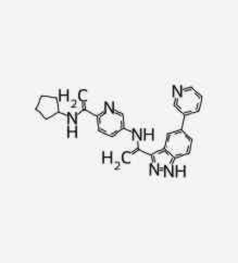 C=C(NC1CCCC1)c1ccc(NC(=C)c2n[nH]c3ccc(-c4cccnc4)cc23)cn1